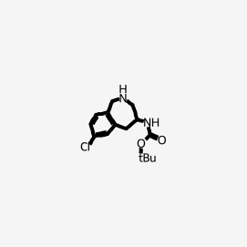 CC(C)(C)OC(=O)NC1CNCc2ccc(Cl)cc2C1